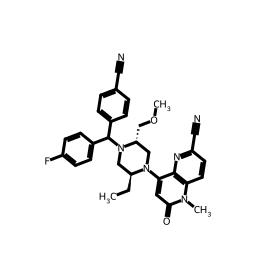 CC[C@H]1CN(C(c2ccc(F)cc2)c2ccc(C#N)cc2)[C@H](COC)CN1c1cc(=O)n(C)c2ccc(C#N)nc12